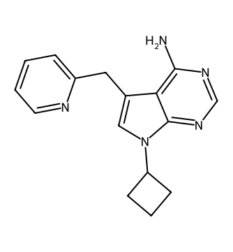 Nc1ncnc2c1c(Cc1ccccn1)cn2C1CCC1